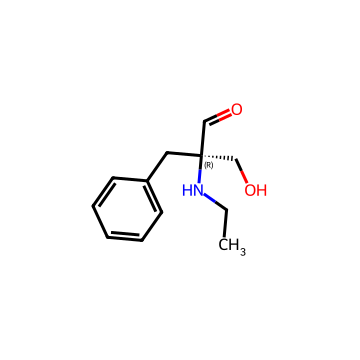 CCN[C@@](C=O)(CO)Cc1ccccc1